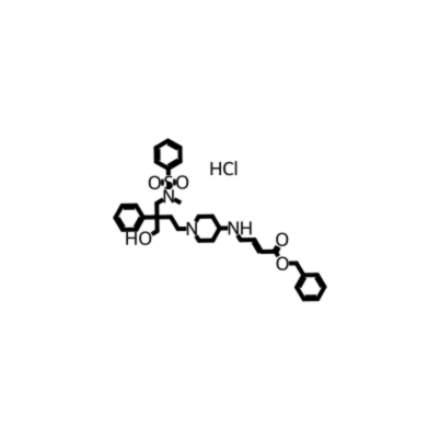 CN(CC(CO)(CCN1CCC(NCC=CC(=O)OCc2ccccc2)CC1)c1ccccc1)S(=O)(=O)c1ccccc1.Cl